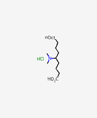 CCCCCCCCCCCC(CCCC(=O)O)N(C)C.Cl